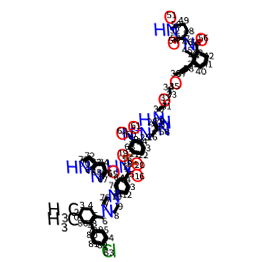 CC1(C)CCC(CN2CCN(c3ccc(C(=O)NS(=O)(=O)c4ccc(NCc5cn(CCOCCOCC#Cc6cccc7c6CN(C6CCC(=O)NC6=O)C7=O)nn5)c([N+](=O)[O-])c4)c(Oc4cnc5[nH]ccc5c4)c3)CC2)=C(c2ccc(Cl)cc2)C1